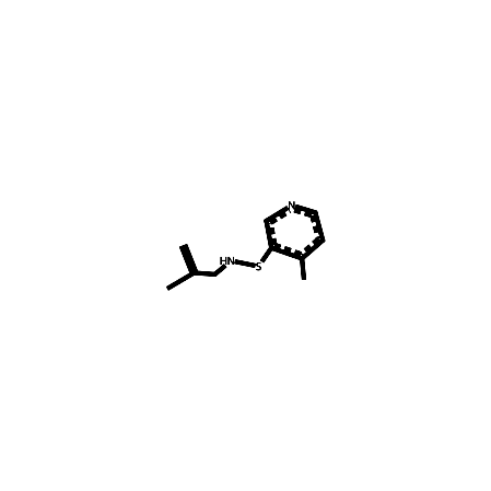 C=C(C)CNSc1cnccc1C